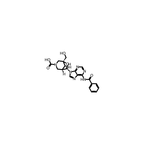 O=C(Nc1ncnc2c1ncn2[C@@H]1O[C@@]2(CO)CN(C(=O)O)C[C@@H]1[C@@H]2O)c1ccccc1